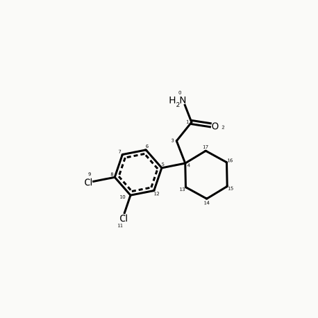 NC(=O)CC1(c2ccc(Cl)c(Cl)c2)CCCCC1